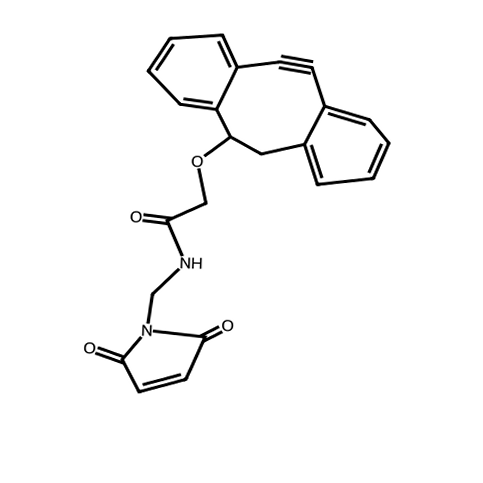 O=C(COC1Cc2ccccc2C#Cc2ccccc21)NCN1C(=O)C=CC1=O